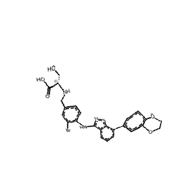 O=C(O)[C@H](CO)NCc1ccc(Nc2nsc3c(-c4ccc5c(c4)OCCO5)cccc23)c(Br)c1